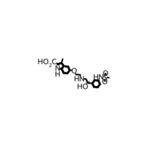 Cc1c(C(=O)O)[nH]c2ccc(OCCNC[C@H](O)c3cccc(NS(C)(=O)=O)c3)cc12